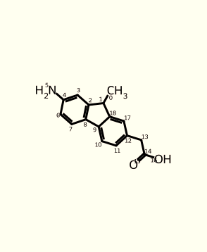 CC1c2cc(N)ccc2-c2ccc(CC(=O)O)cc21